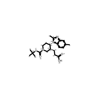 Cc1ccc2c(c1)nc(C)n2[C@H]1CCN(C(=O)OC(C)(C)C)C[C@@H]1CCC(=O)O